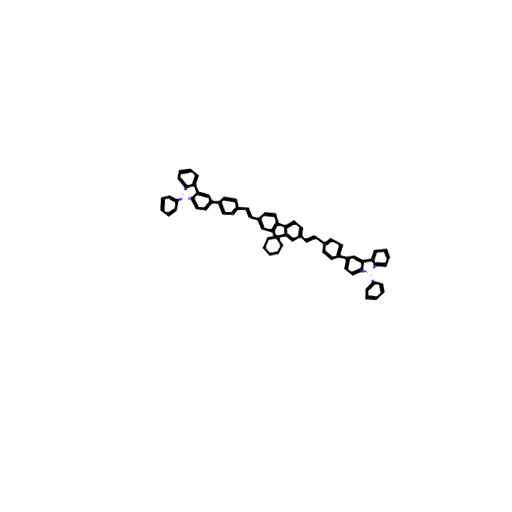 C(=C\c1ccc2c(c1)C1(CCCCC1)c1cc(/C=C/c3ccc(-c4ccc5c(c4)c4ccccc4n5-c4ccccc4)cc3)ccc1-2)/c1ccc(-c2ccc3c(c2)c2ccccc2n3-c2ccccc2)cc1